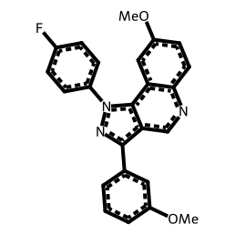 COc1cccc(-c2nn(-c3ccc(F)cc3)c3c2cnc2ccc(OC)cc23)c1